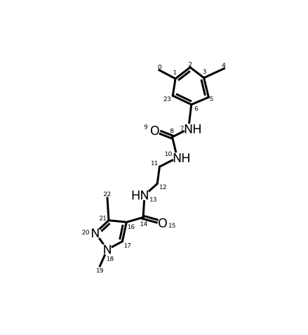 Cc1cc(C)cc(NC(=O)NCCNC(=O)c2cn(C)nc2C)c1